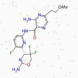 COCCc1cnc(C(=O)Nc2ccc(F)c([C@H]3N=C(N)OCC3(F)F)n2)c(N)n1